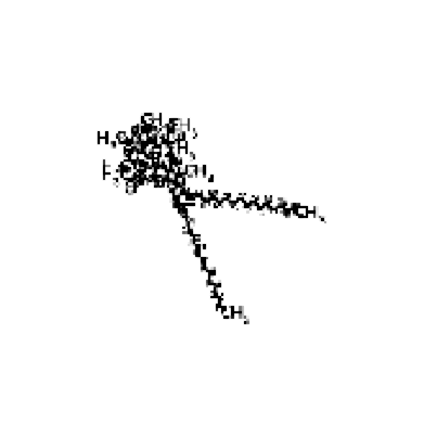 CCCCCCCCCCCCCCCCSCC(CO[C@@H]1O[C@H](COC(C)=O)[C@@H](O[C@@H]2O[C@H](COC(C)=O)[C@H](OC(C)=O)[C@H](OC(C)=O)[C@H]2OC(C)=O)[C@H](OC(C)=O)[C@H]1OC(C)=O)CSCCCCCCCCCCCCCCCC